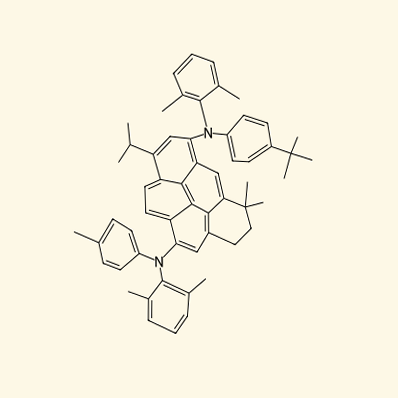 Cc1ccc(N(c2c(C)cccc2C)c2cc3c4c(cc5c(N(c6ccc(C(C)(C)C)cc6)c6c(C)cccc6C)cc(C(C)C)c6ccc2c4c65)C(C)(C)CC3)cc1